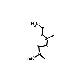 CCCCN(C)CCN(C)CCN